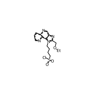 CCOCc1nc2cnc3cccnc3c2n1CCCCS(=O)(=O)Cl